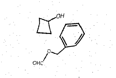 O=COCc1ccccc1.OC1CCC1